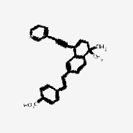 CC1(C)CC=C(C#Cc2cccnc2)c2cc(/C=C/c3ccc(C(=O)O)cc3)ccc21